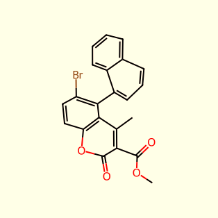 COC(=O)c1c(C)c2c(-c3cccc4ccccc34)c(Br)ccc2oc1=O